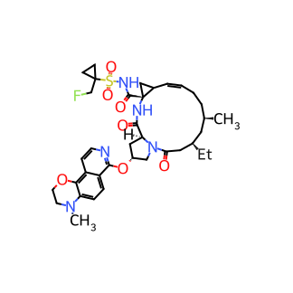 CC[C@H]1CC(=O)N2C[C@H](Oc3nccc4c5c(ccc34)N(C)CCO5)C[C@H]2C(=O)N[C@]2(C(=O)NS(=O)(=O)C3(CF)CC3)CC2/C=C\CC[C@@H](C)C1